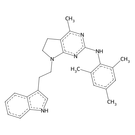 Cc1cc(C)c(Nc2nc(C)c3c(n2)N(CCc2c[nH]c4ccccc24)CC3)c(C)c1